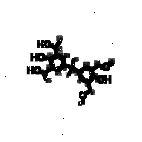 COCc1cc(C(C)(C)c2cc(C(C)O)c(O)c(C(C)O)c2)cc(COC)c1O